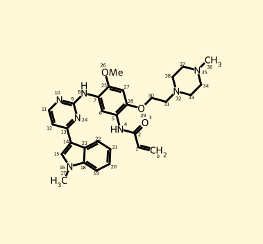 C=CC(=O)Nc1cc(Nc2nccc(-c3cn(C)c4ccccc34)n2)c(OC)cc1OCCN1CCN(C)CC1